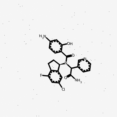 NC(=O)C(c1cccnc1)N(C(=O)c1ccc(N)cc1O)[C@@H]1CCc2c(F)cc(Cl)cc21